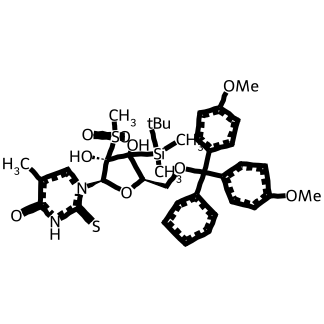 COc1ccc(C(OC[C@H]2O[C@@H](n3cc(C)c(=O)[nH]c3=S)[C@@](O)(S(C)(=O)=O)[C@@]2(O)[Si](C)(C)C(C)(C)C)(c2ccccc2)c2ccc(OC)cc2)cc1